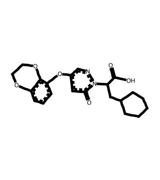 O=C(O)C(CC1CCCCC1)n1ncc(Oc2cccc3c2OCCO3)cc1=O